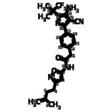 C=C(C)CCc1cc(NC(=O)Cc2ccc(-c3nn(C(C)(C)C(F)(F)F)c(N)c3C#N)cc2)on1